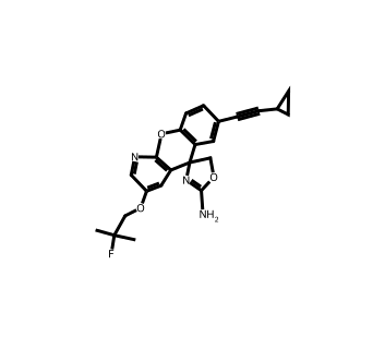 CC(C)(F)COc1cnc2c(c1)C1(COC(N)=N1)c1cc(C#CC3CC3)ccc1O2